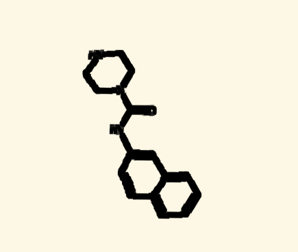 O=C(Nc1ccc2ccccc2c1)N1CCNCC1